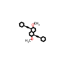 COc1ccc2c(C#Cc3ccccc3)c(OC)ccc2c1C#Cc1ccccc1